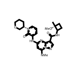 CNc1cc(Nc2cccn([C@H]3CCCOC3)c2=O)nc2c(C(=O)NC3CC[C@@]3(C)OC)cnn12